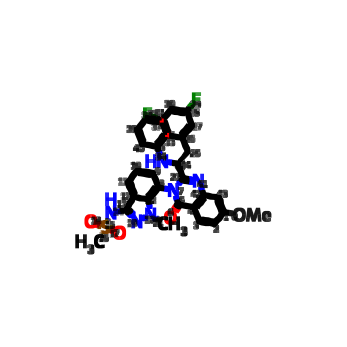 COc1ccc2c(=O)n(-c3cccc4c(NS(C)(=O)=O)nn(C)c34)c([C@H](Cc3cc(F)cc(F)c3)Nc3ccccc3)nc2c1